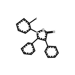 O=c1on(-c2ccccc2I)c(-c2ccccc2)c1-c1ccccc1